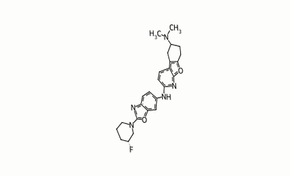 CN(C)C1CCc2oc3nc(Nc4ccc5nc(N6CCC[C@@H](F)C6)oc5c4)ccc3c2C1